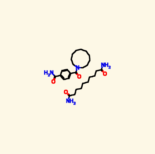 NC(=O)CCCCCCCCC(N)=O.NC(=O)c1ccc(C(=O)N2CCCCCCCCCC2)cc1